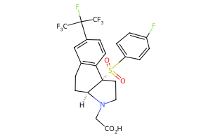 O=C(O)CN1CC[C@]2(S(=O)(=O)c3ccc(F)cc3)c3ccc(C(F)(C(F)(F)F)C(F)(F)F)cc3CC[C@H]12